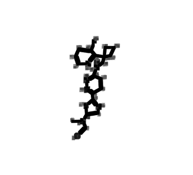 CN(C=O)c1cnc(-c2ccc(NCC3(c4ncccc4F)CCC3)nn2)s1